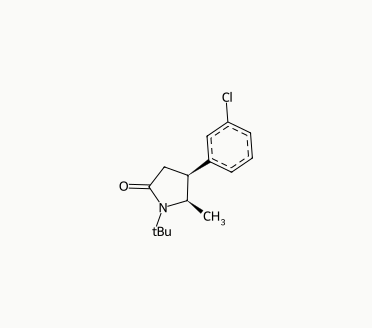 C[C@@H]1[C@H](c2cccc(Cl)c2)CC(=O)N1C(C)(C)C